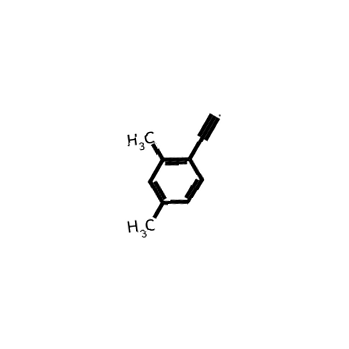 [C]#Cc1ccc(C)cc1C